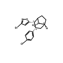 CCc1cc([C@@H]2C3CC[C@H](C[C@@H]2c2ccc(Cl)cc2)N3C)on1